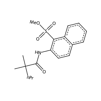 CCCC(C)(C)C(=O)Nc1ccc2ccccc2c1S(=O)(=O)OC